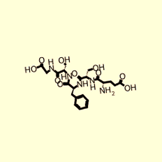 N[C@@H](CCC(=O)O)C(=O)N[C@@H](CO)C(=O)N[C@@H](Cc1ccccc1)C(=O)N[C@@H](CO)C(=O)NCC(=O)O